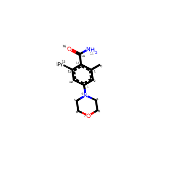 Cc1cc(N2CCOCC2)cc(C(C)C)c1C(N)=O